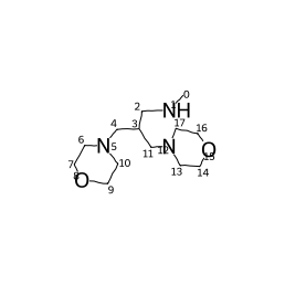 CNCC(CN1CCOCC1)CN1CCOCC1